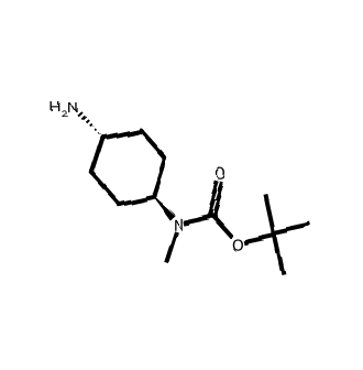 CN(C(=O)OC(C)(C)C)[C@H]1CC[C@H](N)CC1